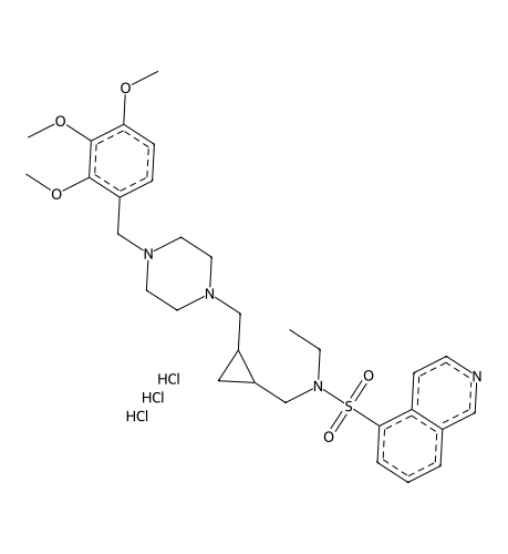 CCN(CC1CC1CN1CCN(Cc2ccc(OC)c(OC)c2OC)CC1)S(=O)(=O)c1cccc2cnccc12.Cl.Cl.Cl